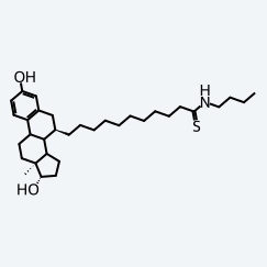 CCCCNC(=S)CCCCCCCCCC[C@@H]1Cc2cc(O)ccc2C2CC[C@@]3(C)C(CC[C@@H]3O)C21